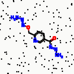 NN=NOCc1ccc(C(=O)N=NN)cn1